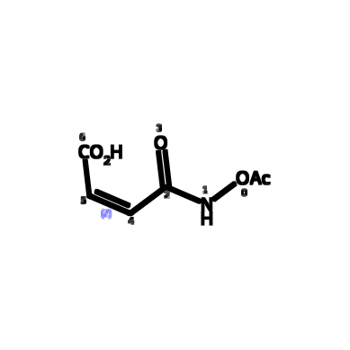 CC(=O)ONC(=O)/C=C\C(=O)O